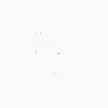 CCCC(CN)C(=O)C(CN)CCC